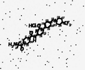 CC(C)(N)C(=O)N1CCN(C(=O)Nc2ccn(-c3ccc(CN4CCC(C(F)(F)F)CC4)cc3)c(=O)n2)CC1.Cl